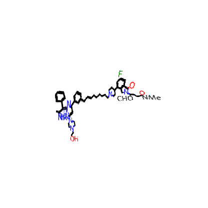 CNC(=O)CCC(C=O)N1Cc2c(cc(F)cc2C2CCN(CCCCCCCCCc3cccc(C4=N/C(=C(/C(C)=N)c5ccccc5)NC(N5CCN(CCO)CC5)=C4)c3)CC2)C1=O